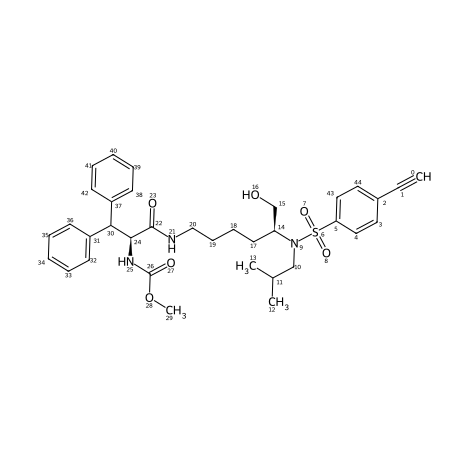 C#Cc1ccc(S(=O)(=O)N(CC(C)C)[C@H](CO)CCCCNC(=O)[C@@H](NC(=O)OC)C(c2ccccc2)c2ccccc2)cc1